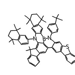 CC(C)(C)c1ccc(N2B3c4cc5c(cc4N(c4ccc6c(c4)C(C)(C)CCC6(C)C)c4c3c(cc3c4C(C)(C)c4ccccc4-3)-c3cc4c(cc32)sc2ccccc24)C(C)(C)CCC5(C)C)cc1